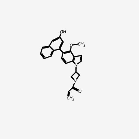 C=CC(=O)N1CC(n2ccc3c(OC)c(-c4cc(O)cc5ccccc45)ccc32)C1